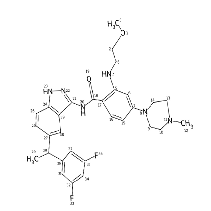 COCCNc1cc(N2CCN(C)CC2)ccc1C(=O)Nc1n[nH]c2ccc(C(C)c3cc(F)cc(F)c3)cc12